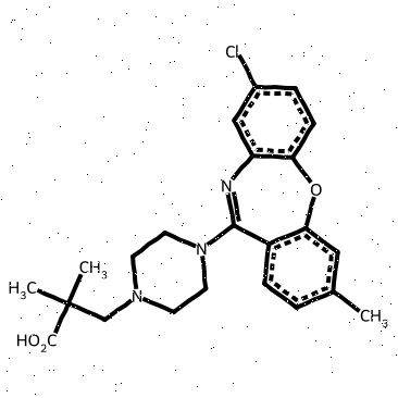 Cc1ccc2c(c1)Oc1ccc(Cl)cc1N=C2N1CCN(CC(C)(C)C(=O)O)CC1